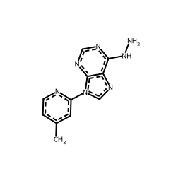 Cc1ccnc(-n2cnc3c(NN)ncnc32)c1